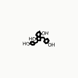 Oc1ccc(Cc2cc(Cc3ccc(O)cc3)c3c(O)cccc3c2O)cc1